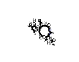 CC[C@H]1OC(=O)CC[C@H](C)[C@@H](OC2OC(C)CC(N(C)C)C2O)[C@@H](CC=O)C[C@@H](C)C(=O)/C=C/C(C)=C/[C@@H]1CNC(=O)NC